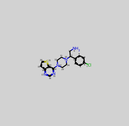 NCC(c1ccc(Cl)cc1)N1CCN(c2ncnc3ccsc23)CC1